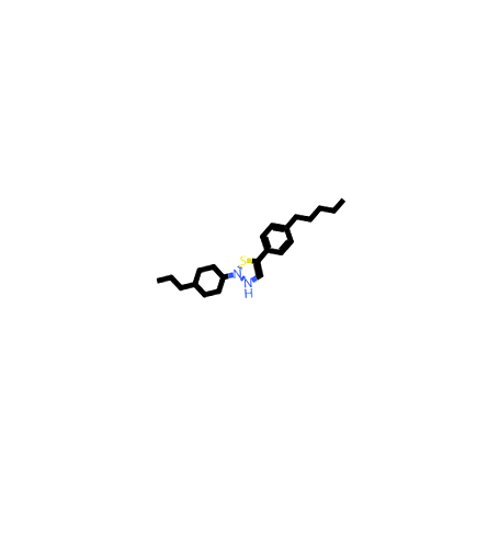 CCCCCc1ccc(C2=CNN(C3CCC(CCC)CC3)S2)cc1